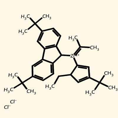 CCC1C=C(C(C)(C)C)C=[C]1[Zr+2](=[C](C)C)[CH]1c2ccc(C(C)(C)C)cc2-c2cc(C(C)(C)C)ccc21.[Cl-].[Cl-]